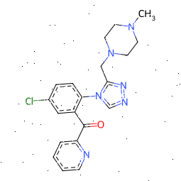 CN1CCN(Cc2nncn2-c2ccc(Cl)cc2C(=O)c2ccccn2)CC1